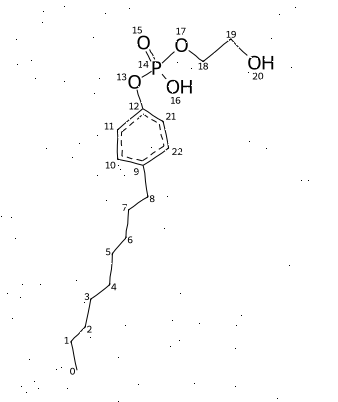 CCCCCCCCCc1ccc(OP(=O)(O)OCCO)cc1